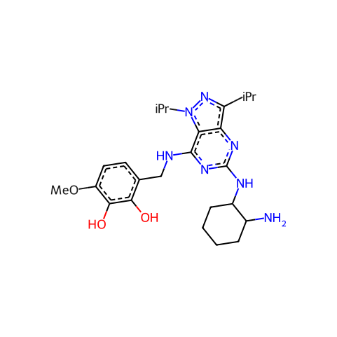 COc1ccc(CNc2nc(NC3CCCCC3N)nc3c(C(C)C)nn(C(C)C)c23)c(O)c1O